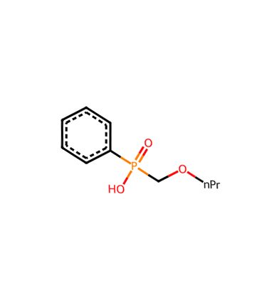 CCCOCP(=O)(O)c1ccccc1